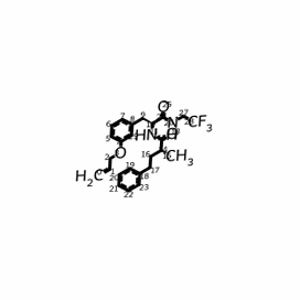 C=CCOc1cccc(C[C@H](NC(=O)[C@@H](C)CCc2ccccc2)C(=O)NCC(F)(F)F)c1